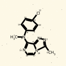 Cc1nnc2c(N(C)c3ccc(Cl)cc3)nccn12